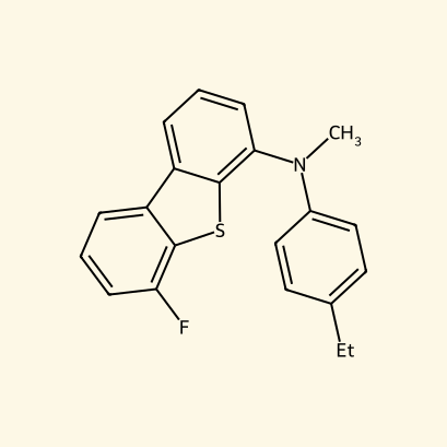 CCc1ccc(N(C)c2cccc3c2sc2c(F)cccc23)cc1